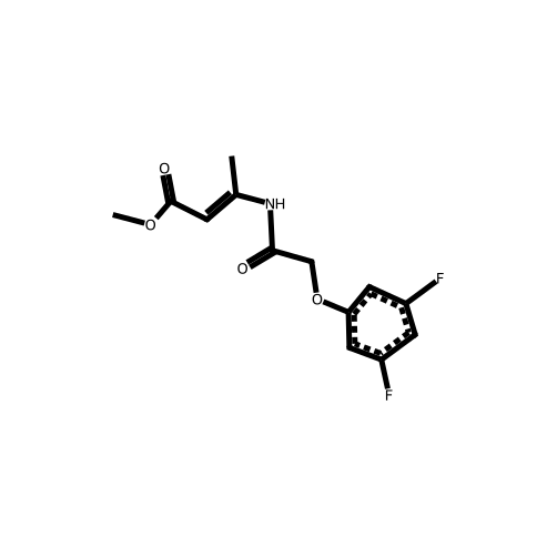 COC(=O)C=C(C)NC(=O)COc1cc(F)cc(F)c1